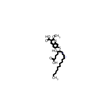 CCCCCCCCCC/C=C\C=C\[C@@H](Sc1ccc2cc(C(=O)O)c(OC)nc2c1)[C@@H](O)CCCC(=O)O